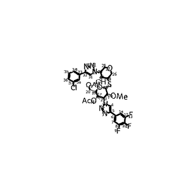 CO[C@@H]1[C@@H](n2cc(-c3cc(F)c(F)c(F)c3)nn2)[C@@H](OC(C)=O)[C@@H](COC(C)=O)O[C@H]1S[C@@H]1COC[C@H](n2cc(-c3cccc(Cl)c3)nn2)[C@H]1O